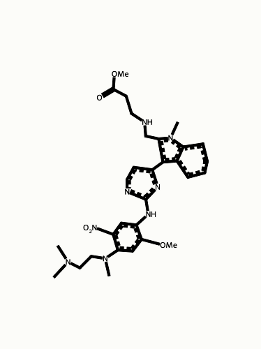 COC(=O)CCNCc1c(-c2ccnc(Nc3cc([N+](=O)[O-])c(N(C)CCN(C)C)cc3OC)n2)c2ccccc2n1C